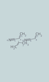 C=CC.C=CC#N.C=CC#N